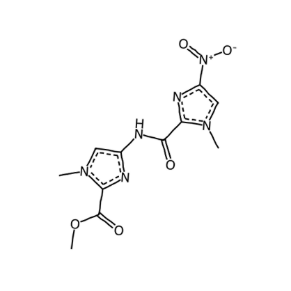 COC(=O)c1nc(NC(=O)c2nc([N+](=O)[O-])cn2C)cn1C